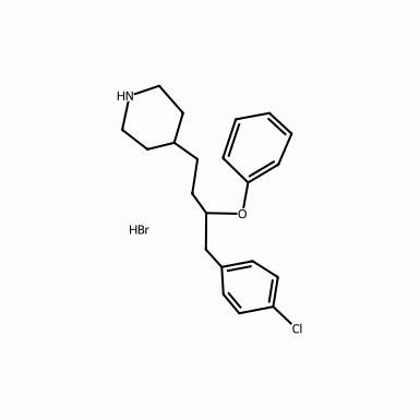 Br.Clc1ccc(CC(CCC2CCNCC2)Oc2ccccc2)cc1